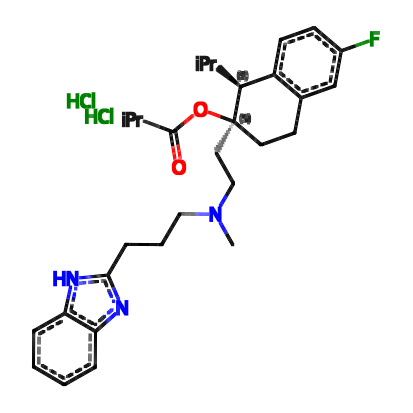 CC(C)C(=O)O[C@]1(CCN(C)CCCc2nc3ccccc3[nH]2)CCc2cc(F)ccc2[C@@H]1C(C)C.Cl.Cl